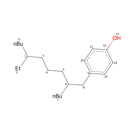 CCCCC(CC)CCCC(CCCC)Cc1ccc(O)cc1